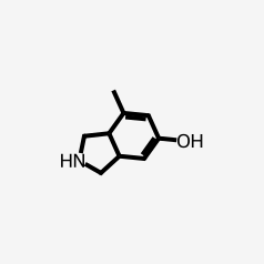 CC1=CC(O)=CC2CNCC12